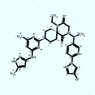 CCN1C(=O)CN([C@@H](C)c2ccc(-n3cc(F)cn3)nc2)C(=O)[C@]12CC[C@H](c1nc(C)cc(Nc3cc(C)[nH]n3)n1)CC2